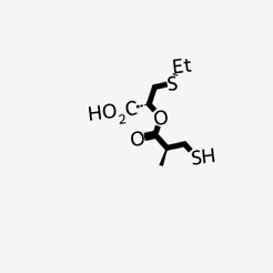 CCSC[C@H](OC(=O)[C@H](C)CS)C(=O)O